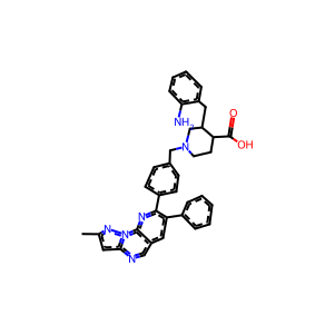 Cc1cc2ncc3cc(-c4ccccc4)c(-c4ccc(CN5CCC(C(=O)O)C(Cc6ccccc6N)C5)cc4)nc3n2n1